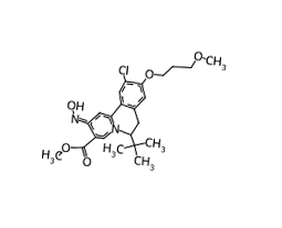 COCCCOc1cc2c(cc1Cl)-c1cc(=NO)c(C(=O)OC)cn1C(C(C)(C)C)C2